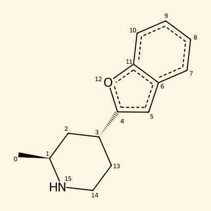 C[C@H]1C[C@H](c2cc3ccccc3o2)CCN1